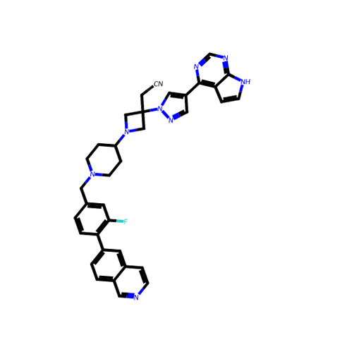 N#CCC1(n2cc(-c3ncnc4[nH]ccc34)cn2)CN(C2CCN(Cc3ccc(-c4ccc5cnccc5c4)c(F)c3)CC2)C1